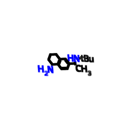 CC(NC(C)(C)C)c1ccc2c(c1)CCC[C@H]2N